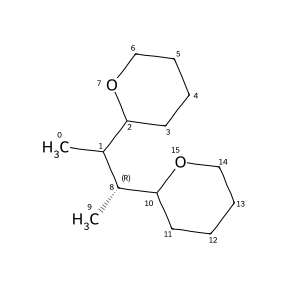 CC(C1CCCCO1)[C@@H](C)C1CCCCO1